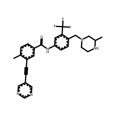 Cc1ccc(C(=O)Nc2ccc(CN3CCNC(C)C3)c(C(F)(F)F)c2)cc1C#Cc1cncnc1